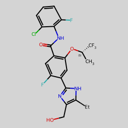 CCc1[nH]c(-c2cc(O[C@@H](C)C(F)(F)F)c(C(=O)Nc3c(F)cccc3Cl)cc2F)nc1CO